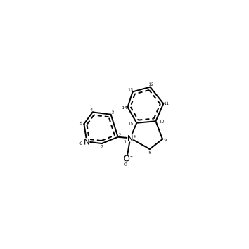 [O-][N+]1(c2cccnc2)CCc2ccccc21